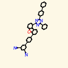 N#Cc1cc(C#N)cc(-c2ccc(-c3cccc4c3oc3cccc(-c5nc(-c6ccccc6)nc(-c6ccc(-c7ccccc7)cc6)n5)c34)cc2)c1